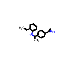 C=Cc1ccccc1NC(=C)c1ccc(C2CN2)cc1